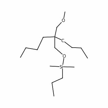 CCCCC(CCCC)(COC)CO[Si](C)(C)CCC